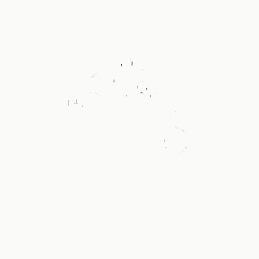 CCC(C)c1ccc(OC(C)OCCOc2ccc(C3CCCCC3)cc2)c(OC(C)=O)c1